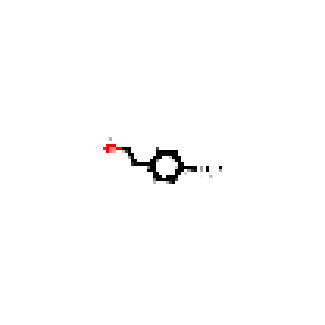 CCOC(=O)c1ccc(CCO)cc1